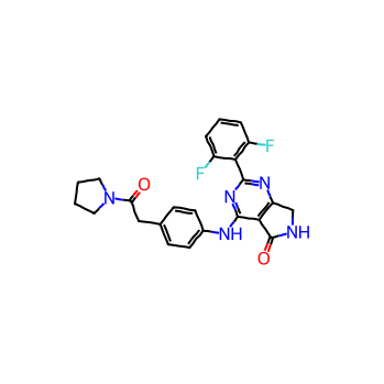 O=C1NCc2nc(-c3c(F)cccc3F)nc(Nc3ccc(CC(=O)N4CCCC4)cc3)c21